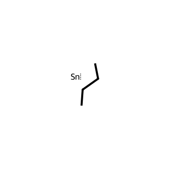 CCCC.[Sn]